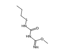 CCCSNC(=O)NC(=N)OC